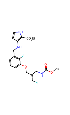 CCOC(=O)c1[nH]ccc1NCc1cccc(OC/C(=C/F)CNC(=O)OC(C)(C)C)c1F